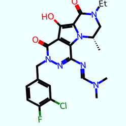 CCN1C[C@H](C)n2c(c(O)c3c(=O)n(Cc4ccc(F)c(Cl)c4)nc(N=CN(C)C)c32)C1=O